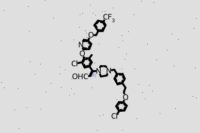 Cc1cc(/C(=C\C=O)N2CCN(Cc3ccc(CCOc4ccc(Cl)cc4)cc3)CC2)cc(Cl)c1Oc1ccc(OCc2ccc(C(F)(F)F)cc2)cn1